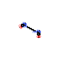 c1nc(NCCCCCCCCCNc2ncnc3cc4c(cc23)OCO4)c2cc3c(cc2n1)OCO3